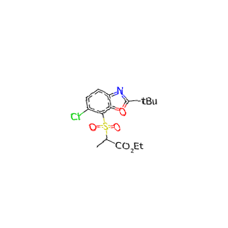 CCOC(=O)C(C)S(=O)(=O)c1c(Cl)ccc2nc(C(C)(C)C)oc12